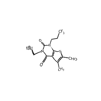 Cc1c(C=O)sc2c1c(=O)n(CC(C)(C)C)c(=O)n2CCC(F)(F)F